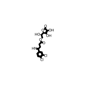 N=C(CCC(=O)OC[C@H](O)[C@H]1OC(=O)C(O)=C1O)c1ccc(Cl)c(Cl)c1